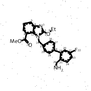 CCOc1nc2cccc(C(=O)OC)c2n1Cc1ccc(-c2cc(F)ccc2CN)cc1